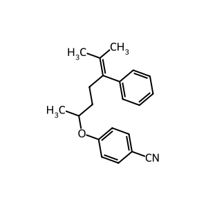 CC(C)=C(CCC(C)Oc1ccc(C#N)cc1)c1ccccc1